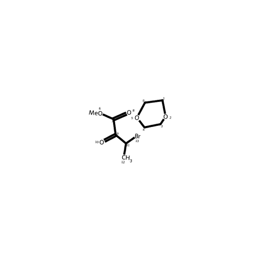 C1COCCO1.COC(=O)C(=O)C(C)Br